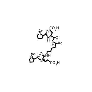 CC(=O)C(CCCCNC(=O)C(CCC(=O)O)NC(=O)C1CCCN1C(C)=O)NC(=O)C(CCC(=O)O)NC(=O)C1CCCN1C(C)=O